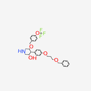 OC1CNCC(OCc2ccc(OC(F)(F)F)cc2)C1c1ccc(OCCCOCc2ccccc2)cc1